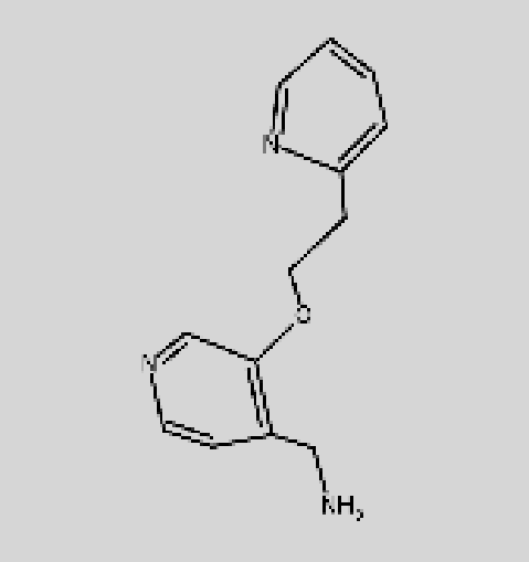 NCc1ccncc1OCCc1ccccn1